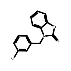 S=c1oc2ccccc2n1Cc1cccc(Cl)c1